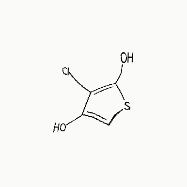 Oc1csc(O)c1Cl